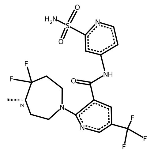 C[C@H]1CCN(c2ncc(C(F)(F)F)cc2C(=O)Nc2ccnc(S(N)(=O)=O)c2)CCC1(F)F